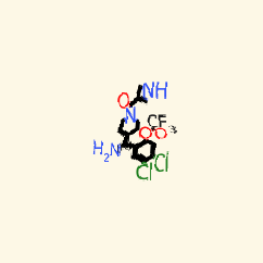 N[C@@H](c1cc(Cl)c(Cl)cc1OC(=O)C(F)(F)F)C1CCN(C(=O)C2CNC2)CC1